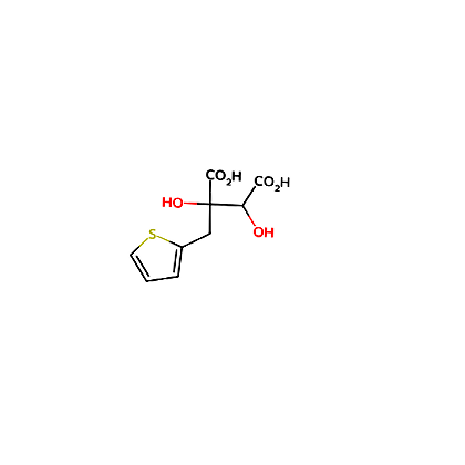 O=C(O)C(O)C(O)(Cc1cccs1)C(=O)O